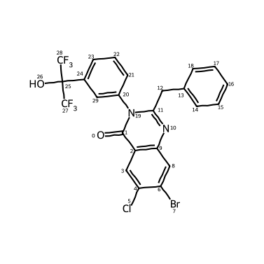 O=c1c2cc(Cl)c(Br)cc2nc(Cc2ccccc2)n1-c1cccc(C(O)(C(F)(F)F)C(F)(F)F)c1